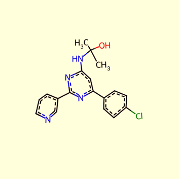 CC(C)(O)Nc1cc(-c2ccc(Cl)cc2)nc(-c2cccnc2)n1